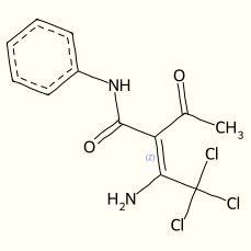 CC(=O)/C(C(=O)Nc1ccccc1)=C(/N)C(Cl)(Cl)Cl